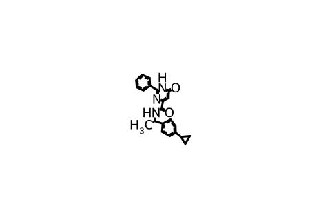 C[C@@H](NC(=O)c1cc(=O)[nH]c(-c2ccccc2)n1)c1ccc(C2CC2)cc1